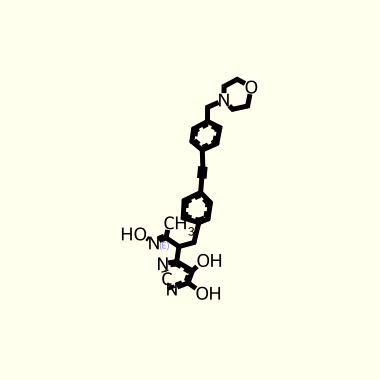 C/C(=N\O)C(Cc1ccc(C#Cc2ccc(CN3CCOCC3)cc2)cc1)c1ncnc(O)c1O